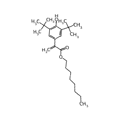 C=C(C(=O)OCCCCCCCC)c1cc(C(C)(C)C)c(O)c(C(C)(C)C)c1